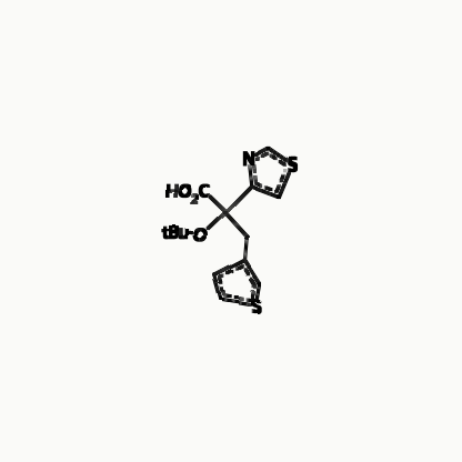 CC(C)(C)OC(Cc1ccsc1)(C(=O)O)c1cscn1